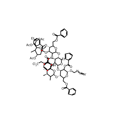 CCC1O[C@@H](O[C@H]2C(COC(=O)c3ccccc3)O[C@@H](OCN=[N+]=[N-])C(OC(=O)c3ccccc3)[C@H]2O[C@@H]2OC(CC)[C@@H](O[C@@H]3OC(COC(=O)c4ccccc4)[C@@H](OC(=O)c4ccccc4)[C@H](O[C@]4(C)C[C@@H](OC(C)=O)C(C)C([C@H](OC(C)=O)[C@@H](CC)OC(C)=O)O4)C3OC(=O)c3ccccc3)[C@H](C)C2NC(=O)OCC(Cl)(Cl)Cl)C(C)[C@@H](C)[C@@H]1C